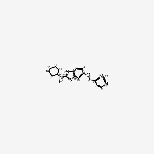 c1cc(COc2ccc3nc(NC4CCCCC4)sc3c2)ncn1